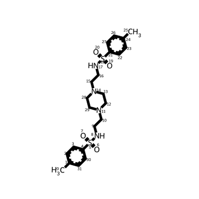 Cc1ccc(S(=O)(=O)NCCN2CCN(CCNS(=O)(=O)c3ccc(C)cc3)CC2)cc1